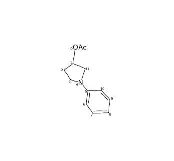 CC(=O)OC1CCN(c2ccccc2)C1